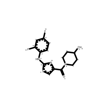 CC1CCN(C(=O)c2csc(Nc3ccc(F)cc3F)n2)CC1